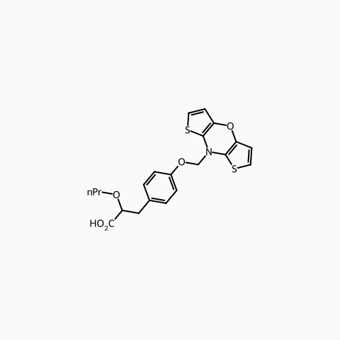 CCCOC(Cc1ccc(OCN2c3sccc3Oc3ccsc32)cc1)C(=O)O